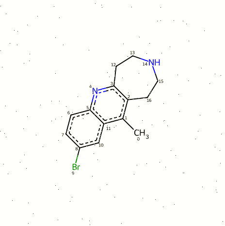 Cc1c2c(nc3ccc(Br)cc13)CCNCC2